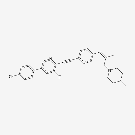 CC(=Cc1ccc(C#Cc2ncc(-c3ccc(Cl)cc3)cc2F)cc1)CN1CCC(C)CC1